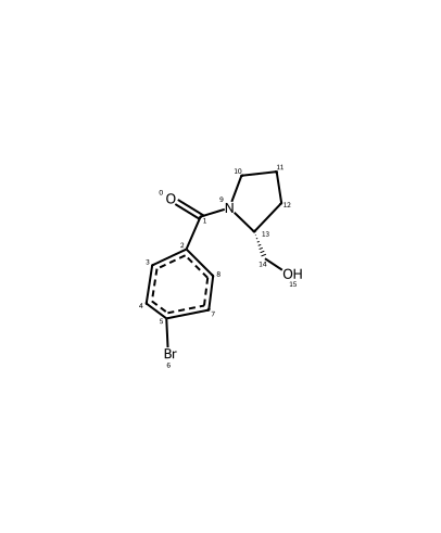 O=C(c1ccc(Br)cc1)N1CCC[C@@H]1CO